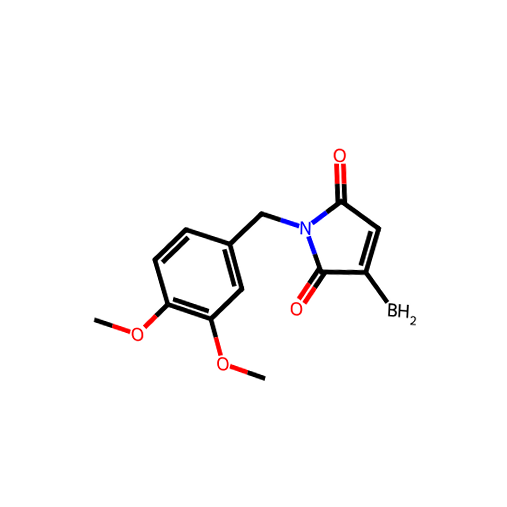 BC1=CC(=O)N(Cc2ccc(OC)c(OC)c2)C1=O